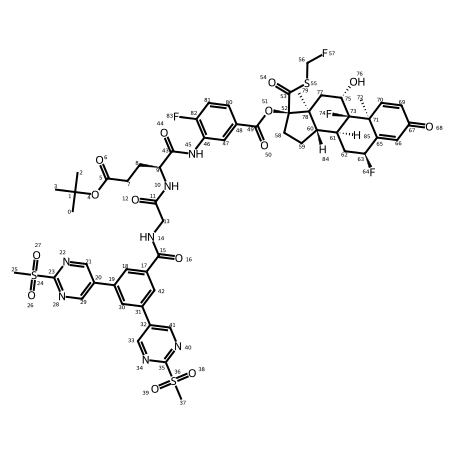 CC(C)(C)OC(=O)CC[C@H](NC(=O)CNC(=O)c1cc(-c2cnc(S(C)(=O)=O)nc2)cc(-c2cnc(S(C)(=O)=O)nc2)c1)C(=O)Nc1cc(C(=O)O[C@]2(C(=O)SCF)CC[C@H]3[C@@H]4C[C@H](F)C5=CC(=O)C=C[C@]5(C)[C@@]4(F)[C@@H](O)C[C@@]32C)ccc1F